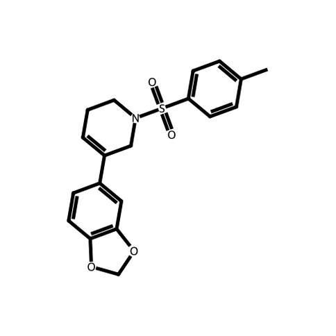 Cc1ccc(S(=O)(=O)N2CCC=C(c3ccc4c(c3)OCO4)C2)cc1